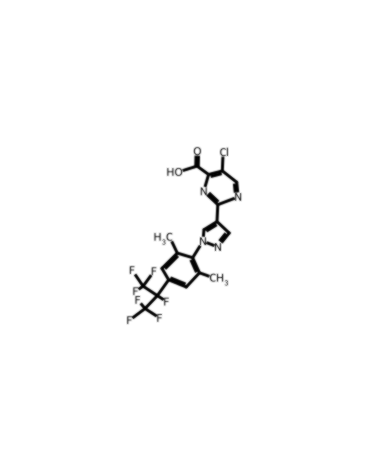 Cc1cc(C(F)(C(F)(F)F)C(F)(F)F)cc(C)c1-n1cc(-c2ncc(Cl)c(C(=O)O)n2)cn1